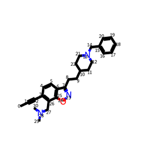 CC#Cc1ccc2c(CCC3CCN(Cc4ccccc4)CC3)noc2c1CN(C)C